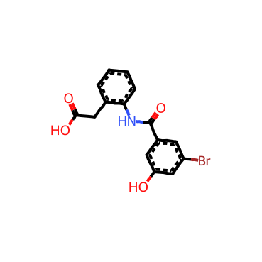 O=C(O)Cc1ccccc1NC(=O)c1cc(O)cc(Br)c1